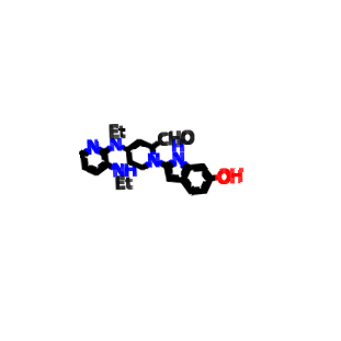 CCNc1cccnc1N(CC)C1CCN(c2cc3ccc(O)cc3[nH]2)C(C=O)C1